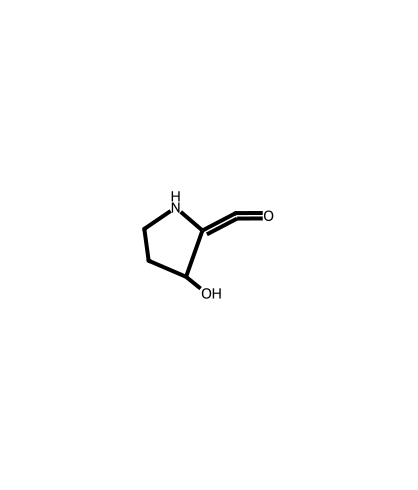 O=C=C1NCCC1O